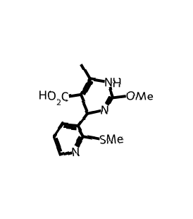 COC1=NC(c2cccnc2SC)C(C(=O)O)=C(C)N1